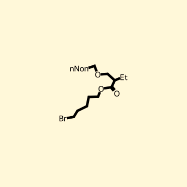 CCCCCCCCCCOCC(CC)C(=O)OCCCCCBr